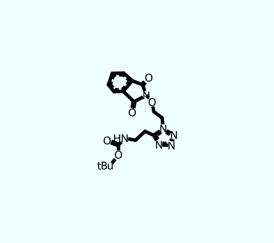 CC(C)(C)OC(=O)NCCc1nnnn1CCON1C(=O)c2ccccc2C1=O